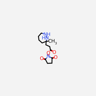 CC1(CCC(=O)ON2C(=O)CCC2=O)CCCCNN1